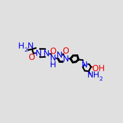 CC(C)(N)C(=O)N1CCN(C(=O)Nc2ccn(-c3ccc(CN4CCC(N)C(O)C4)cc3)c(=O)n2)CC1